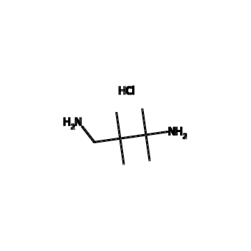 CC(C)(N)C(C)(C)CN.Cl